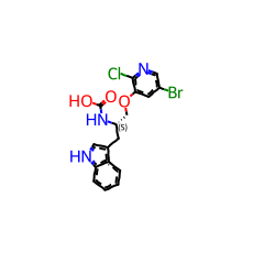 O=C(O)N[C@H](COc1cc(Br)cnc1Cl)Cc1c[nH]c2ccccc12